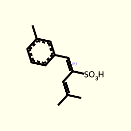 CC(C)=C/C(=C\c1cccc(C)c1)S(=O)(=O)O